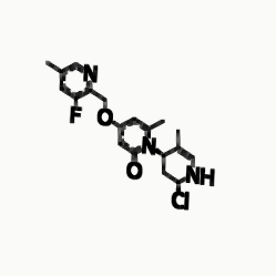 CC1=CN[C@@H](Cl)C[C@H]1n1c(C)cc(OCc2ncc(C)cc2F)cc1=O